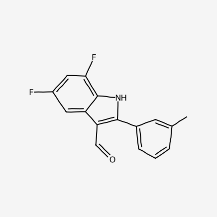 Cc1cccc(-c2[nH]c3c(F)cc(F)cc3c2C=O)c1